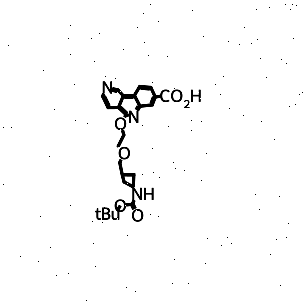 CC(C)(C)OC(=O)NC1CC(COCCOc2nc3cc(C(=O)O)ccc3c3cnccc23)C1